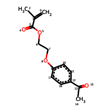 C=C(C)C(=O)OCCOc1ccc(C(C)=O)cc1